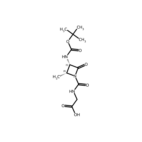 C[C@@H]1[C@H](NC(=O)OC(C)(C)C)C(=O)N1C(=O)NCC(=O)O